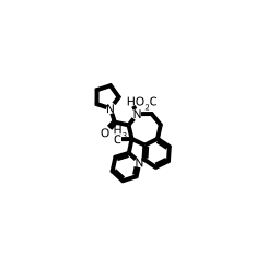 CC1(c2ccccn2)c2ccccc2CCN(C(=O)O)C1C(=O)N1CCCC1